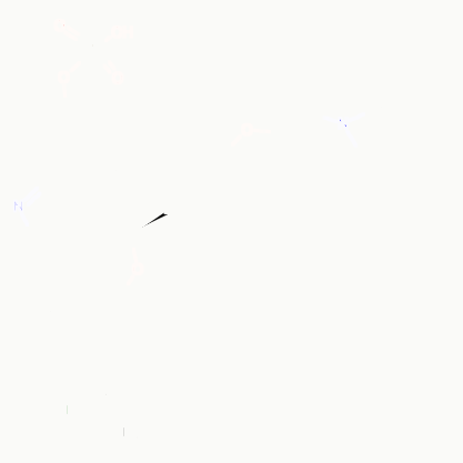 CC(F)(F)c1ccc2c(c1)O[C@H](c1ccc(OCCN3CC(CF)C3)cc1)c1c-2cnc2cc(OS(=O)(=O)O)ccc12